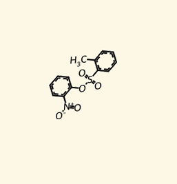 Cc1ccccc1S(=O)(=O)Oc1ccccc1[N+](=O)[O-]